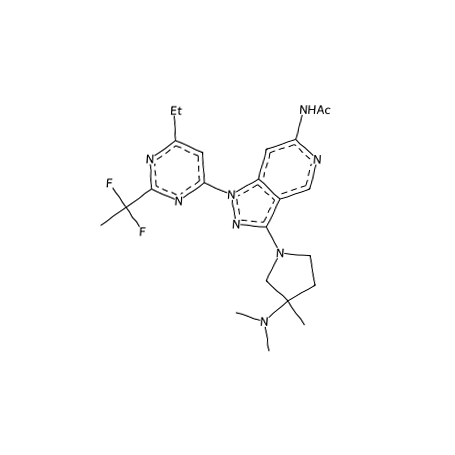 CCc1cc(-n2nc(N3CCC(C)(N(C)C)C3)c3cnc(NC(C)=O)cc32)nc(C(C)(F)F)n1